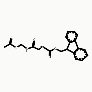 C=C(C)OCNC(=O)CNC(=O)OCC1c2ccccc2-c2ccccc21